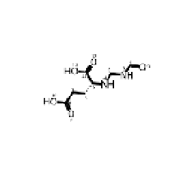 O=CNCN[C@H](CCC(=O)O)C(=O)O